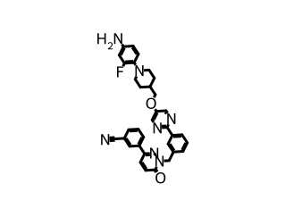 N#Cc1cccc(-c2ccc(=O)n(Cc3cccc(-c4ncc(OCC5CCN(c6ccc(N)cc6F)CC5)cn4)c3)n2)c1